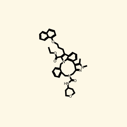 CCOC(=O)c1c(CCCOc2cccc3ccccc23)c2cccc3c2n1Cc1ccccc1CN(C(=O)NC1CCOCC1)Cc1nn(C)c(C)c1-3